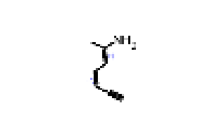 C#C/C=C\C=C(/C)N